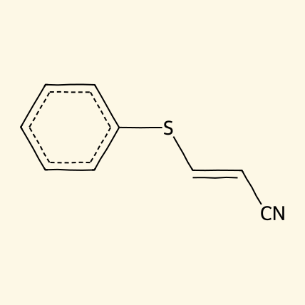 N#CC=CSc1ccccc1